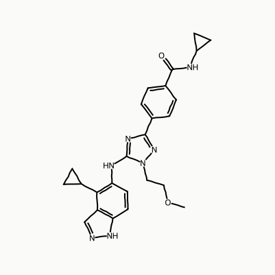 COCCn1nc(-c2ccc(C(=O)NC3CC3)cc2)nc1Nc1ccc2[nH]ncc2c1C1CC1